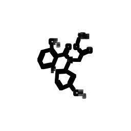 Cc1cccc(N(CC(=O)OC(C)(C)C)C(=O)c2c(F)cccc2C(F)(F)F)c1